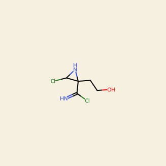 N=C(Cl)C1(CCO)NC1Cl